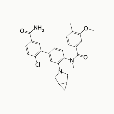 COc1cc(C(=O)N(C)c2ccc(-c3cc(C(N)=O)ccc3Cl)cc2N2CC3CC3C2)ccc1C